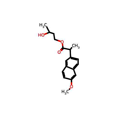 COc1ccc2cc(C(C)C(=O)OCCC(C)O)ccc2c1